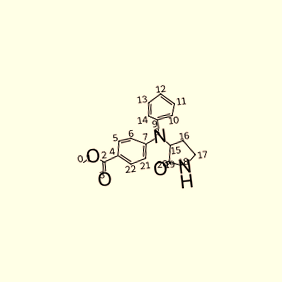 COC(=O)c1ccc(N(c2ccccc2)C2CCNC2=O)cc1